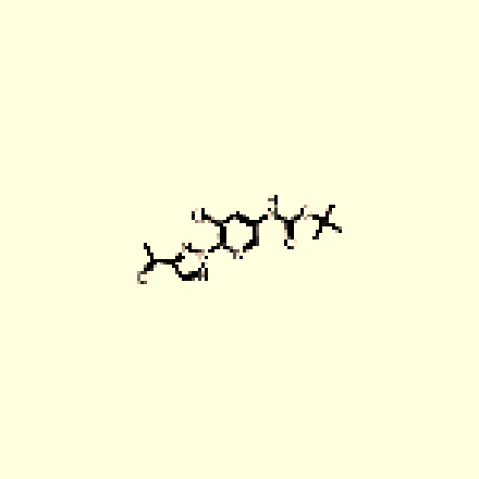 CC(=O)c1cnn(-c2ncc(NC(=O)OC(C)(C)C)cc2Cl)n1